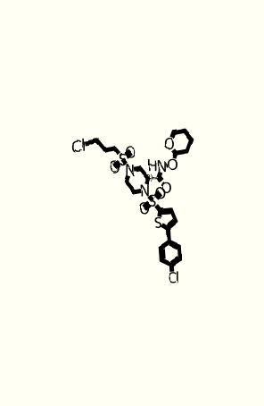 O=C(NOC1CCCCO1)[C@H]1CN(S(=O)(=O)CCCCl)CCN1S(=O)(=O)c1ccc(-c2ccc(Cl)cc2)s1